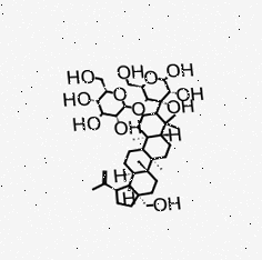 C=C(C)[C@@H]1CC[C@]2(CO)CC[C@]3(C)[C@H](CCC4[C@@]5(C)CCC([C@@]6(O)[C@H](OC7O[C@H](CO)[C@@H](O)[C@H](O)[C@H]7O)[C@@H](CO)O[C@@H](O)[C@@H]6O)C(C)(C)[C@@H]5CC[C@]43C)[C@@H]12